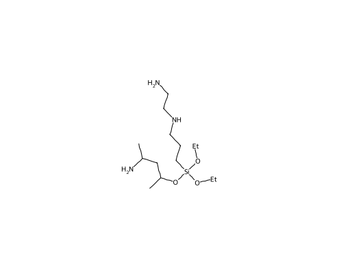 CCO[Si](CCCNCCN)(OCC)OC(C)CC(C)N